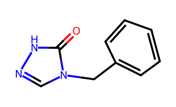 O=c1[nH]ncn1Cc1ccccc1